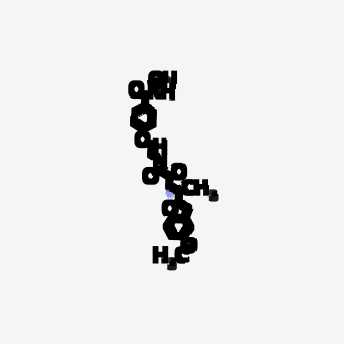 COc1ccc2oc(/C(C)=C/C(=O)C(=O)NCCOc3ccc(C(=O)NO)cc3)cc2c1